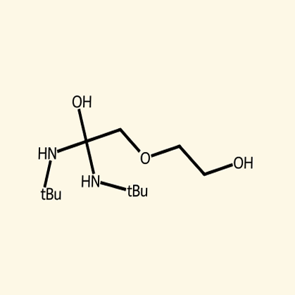 CC(C)(C)NC(O)(COCCO)NC(C)(C)C